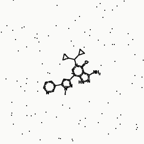 Cn1nc(-c2cn(C(C3CC3)C3CC3)c(=O)c3c(N)n[nH]c23)cc1-c1cccnc1